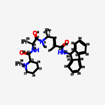 C/C(=C\[C@H](C(C)C)N(C)C(=O)[C@@H](NC(=O)C1CCCCN1C(C)C)C(C)C)C(=O)NC1c2ccccc2-c2ccccc21